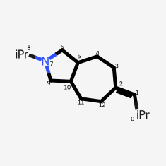 CC(C)C=C1CCC2CN(C(C)C)CC2CC1